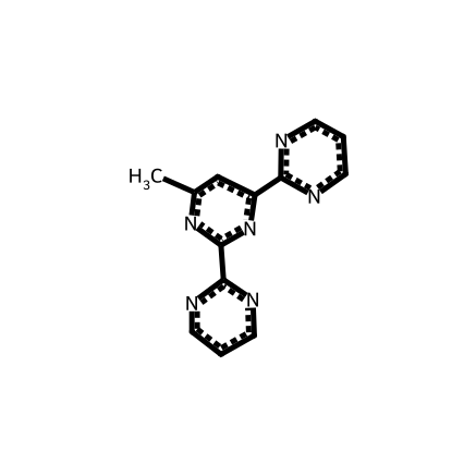 Cc1cc(-c2ncccn2)nc(-c2ncccn2)n1